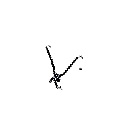 CCCCCCCCCCCCCCCCCCCC#CCCCc1ccccc1N=C(CCCC)C(CCCCCCCC)=Nc1ccccc1CCCC#CCCCCCCCCCCCCCCCCCCC.[Ni]